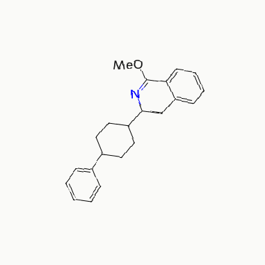 COC1=NC(C2CCC(c3ccccc3)CC2)Cc2ccccc21